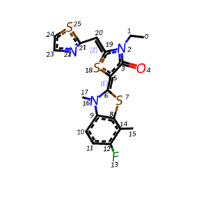 CCn1c(=O)/c(=C2\Sc3c(ccc(F)c3C)N2C)s/c1=C\c1nccs1